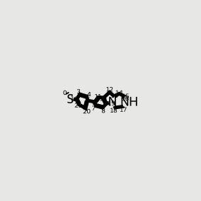 CSc1ccc(-c2ccc3c(c2)CC2CCNCCN32)cc1